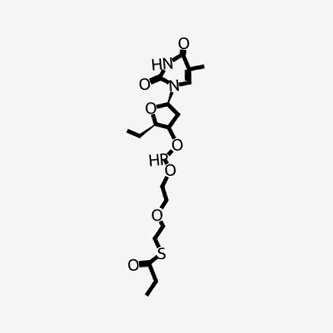 CCC(=O)SCCOCCOPOC1C[C@H](n2cc(C)c(=O)[nH]c2=O)O[C@@H]1CC